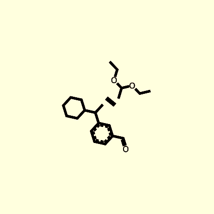 C=C.CC(c1cccc(C=O)c1)C1CCCCC1.CCOC(C)OCC